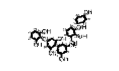 Oc1cccc(O)c1.Oc1cccc(O)c1.Oc1cccc(O)c1O.Oc1cccc(O)c1O.Oc1ccccc1